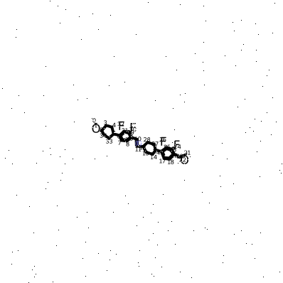 COC1CCC(c2ccc(/C=C/C3CCC(c4ccc(C5CO5)c(F)c4F)CC3)c(F)c2F)CC1